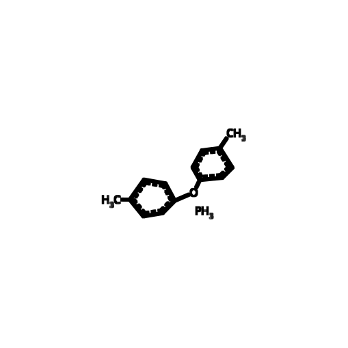 Cc1ccc(Oc2ccc(C)cc2)cc1.P